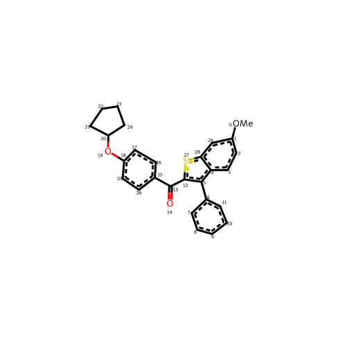 COc1ccc2c(-c3ccccc3)c(C(=O)c3ccc(OC4CCCC4)cc3)sc2c1